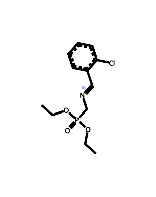 CCOP(=O)(C/N=C/c1ccccc1Cl)OCC